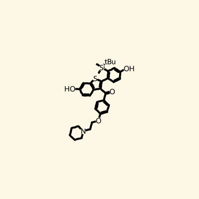 CC(C)(C)[Si](C)(C)c1cc(O)ccc1-c1sc2cc(O)ccc2c1C(=O)c1ccc(OCCN2CCCCC2)cc1